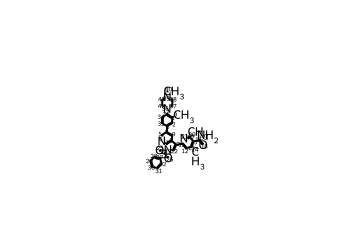 Cc1cc(-c2cnc3c(c2)c(-c2cc(C)c(C(N)=O)c(C)n2)cn3S(=O)(=O)c2ccccc2)ccc1N1CCN(C)CC1